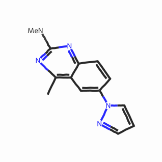 CNc1nc(C)c2cc(-n3cccn3)ccc2n1